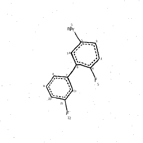 [CH2]CCc1ccc(F)c(-c2cccc(F)c2)c1